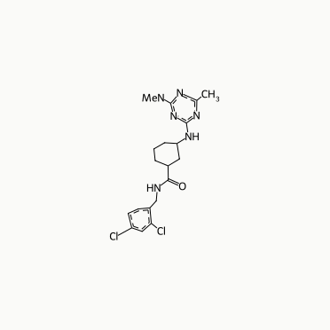 CNc1nc(C)nc(NC2CCCC(C(=O)NCc3ccc(Cl)cc3Cl)C2)n1